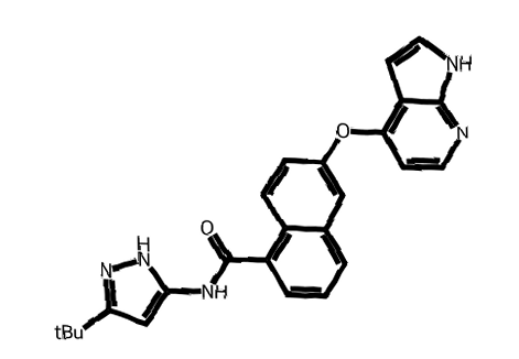 CC(C)(C)c1cc(NC(=O)c2cccc3cc(Oc4ccnc5[nH]ccc45)ccc23)[nH]n1